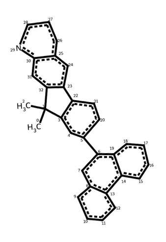 CC1(C)c2cc(-c3cc4ccccc4c4ccccc34)ccc2-c2cc3cccnc3cc21